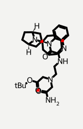 CC(C)(C)OC(=O)CN(CCNc1nc2ccccc2n([C@H]2C[C@H]3CC[C@@H](C2)N3C2CCCCCCC2)c1=O)CC(N)=O